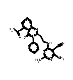 N#Cc1c(N)nc(N)nc1NCCc1nc2cccc(C(N)=O)c2c(=O)n1-c1ccccc1